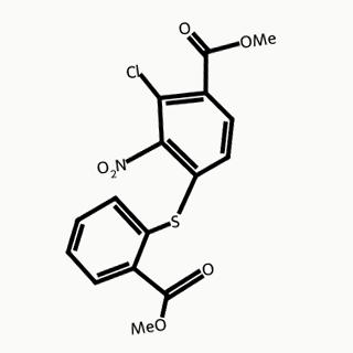 COC(=O)c1ccccc1Sc1ccc(C(=O)OC)c(Cl)c1[N+](=O)[O-]